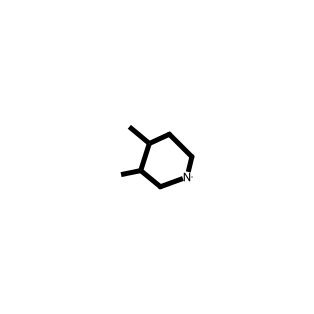 C[C]1CC[N]CC1C